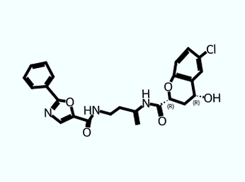 C=C(CCNC(=O)c1cnc(-c2ccccc2)o1)NC(=O)[C@H]1C[C@@H](O)c2cc(Cl)ccc2O1